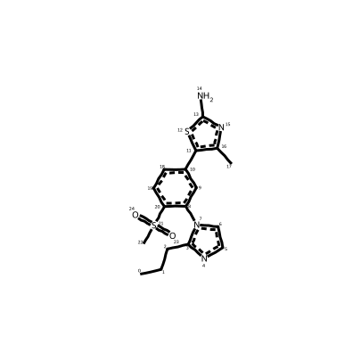 CCCc1nccn1-c1cc(-c2sc(N)nc2C)ccc1S(C)(=O)=O